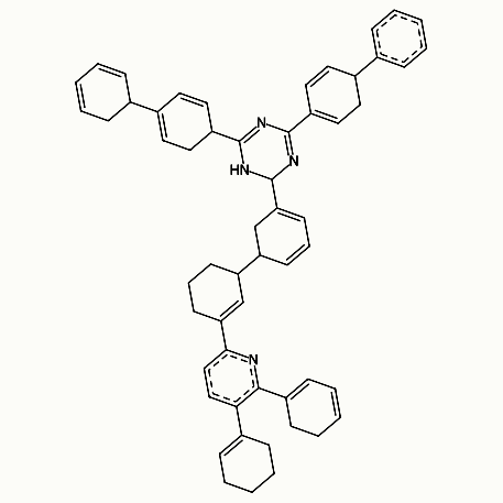 C1=CCCC(c2nc(C3=CC(C4C=CC=C(C5N=C(C6=CCC(c7ccccc7)C=C6)N=C(C6C=CC(C7C=CC=CC7)=CC6)N5)C4)CCC3)ccc2C2=CCCCC2)=C1